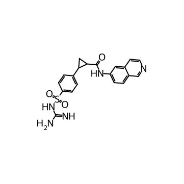 N=C(N)NS(=O)(=O)c1ccc(C2CC2C(=O)Nc2ccc3cnccc3c2)cc1